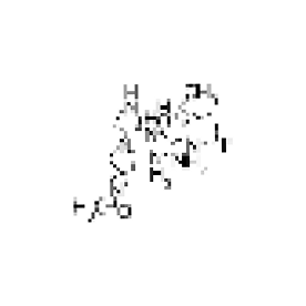 CCC1(C)CCC(F)/C=N\C(C(C(=O)NC2=CNCCC2N2CCC3(CC2)CN(C(C)=O)C3)C(N)N)C1